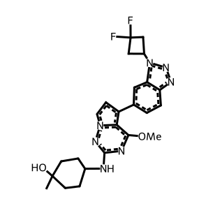 COc1nc(NC2CCC(C)(O)CC2)nn2ccc(-c3ccc4nnn(C5CC(F)(F)C5)c4c3)c12